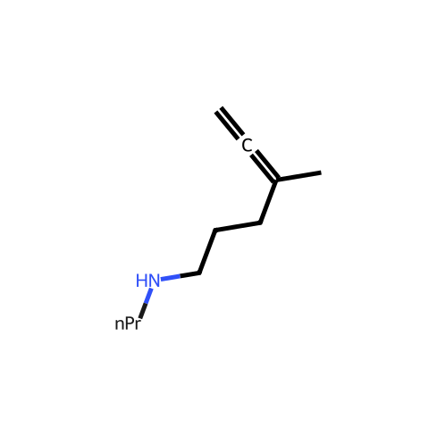 C=C=C(C)CCCNCCC